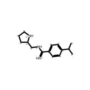 CC(C)c1ccc(C(=N)NCC2CCCN2)cc1